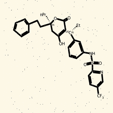 CCC[C@@]1(CCc2ccccc2)CC(O)=C([14C@H](CC)c2cccc(NS(=O)(=O)c3ccc(C(F)(F)F)cn3)c2)C(=O)O1